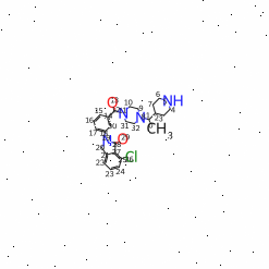 CC(C1CCNCC1)N1CCN(C(=O)c2cccc(N3Cc4cccc(Cl)c4C3=O)c2)CC1